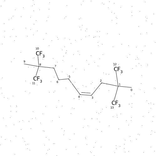 CC(C/C=C\CCCC(C)(C(F)(F)F)C(F)(F)F)(C(F)(F)F)C(F)(F)F